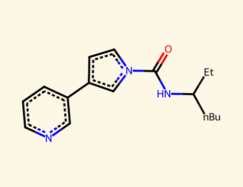 CCCCC(CC)NC(=O)n1ccc(-c2cccnc2)c1